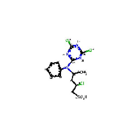 CC(CC(Cl)CS(=O)(=O)O)N(c1ccccc1)c1nc(Cl)nc(Cl)n1